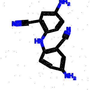 N#Cc1cc(N)ccc1Nc1ccc(N)cc1C#N